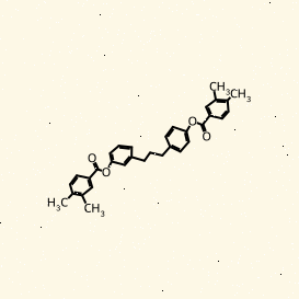 Cc1ccc(C(=O)Oc2ccc(CCCc3cccc(OC(=O)c4ccc(C)c(C)c4)c3)cc2)cc1C